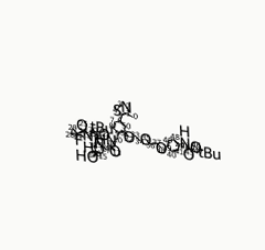 Cc1ncsc1-c1ccc(CNC(=O)[C@@H]2C[C@@H](O)CN2C(=O)[C@@H](NC(=O)C2(F)CC2)C(C)(C)C)c(OCCOCCOc2ccc(NC(=O)OC(C)(C)C)cc2)c1